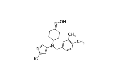 CCn1cc(N(Cc2ccc(C)c(C)c2)C2CCC(=NO)CC2)cn1